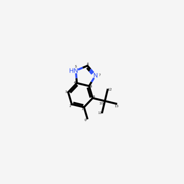 Cc1ccc2[nH]cnc2c1C(C)(C)C